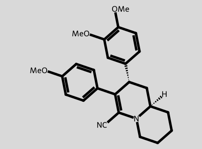 COc1ccc(C2=C(C#N)N3CCCC[C@@H]3C[C@H]2c2ccc(OC)c(OC)c2)cc1